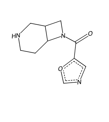 O=C(c1cnco1)N1CC2CNCCC21